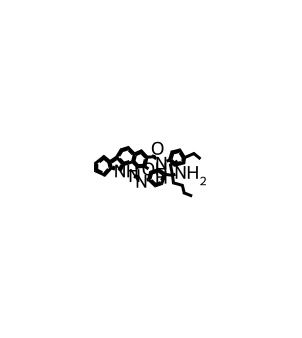 CCCCC(N)(CC)c1ccc(/N=N\c2c(O)c(C(=O)Nc3ccc(CC)cc3)cc3ccc4c5ccccc5[nH]c4c23)cc1